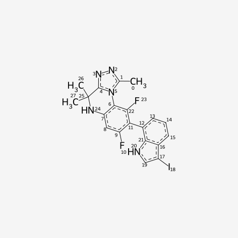 Cc1nnc2n1-c1c(cc(F)c(-c3cccc4c(I)c[nH]c34)c1F)NC2(C)C